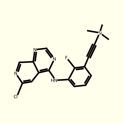 C[Si](C)(C)C#Cc1cccc(Nc2ncnc3cnc(Cl)cc23)c1F